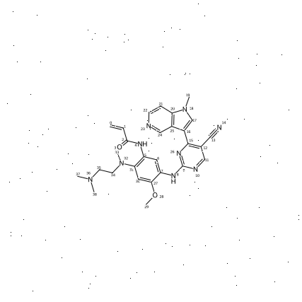 C=CC(=O)Nc1cc(Nc2ncc(C#N)c(-c3cn(C)c4ccncc34)n2)c(OC)cc1N(C)CCN(C)C